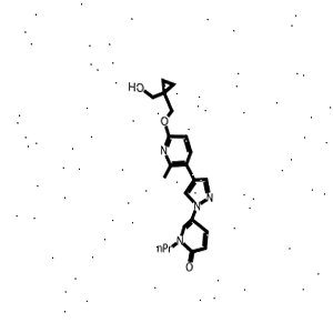 CCCn1cc(-n2cc(-c3ccc(OCC4(CO)CC4)nc3C)cn2)ccc1=O